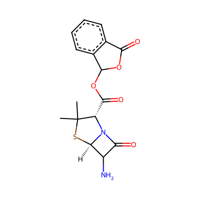 CC1(C)S[C@@H]2C(N)C(=O)N2[C@H]1C(=O)OC1OC(=O)c2ccccc21